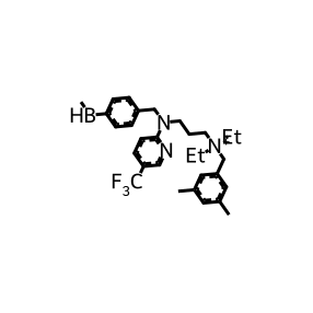 CBc1ccc(CN(CCC[N+](CC)(CC)Cc2cc(C)cc(C)c2)c2ccc(C(F)(F)F)cn2)cc1